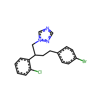 Clc1ccccc1C(CCc1ccc(Br)cc1)Cn1cncn1